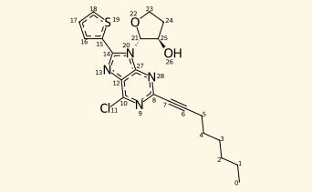 CCCCCCC#Cc1nc(Cl)c2nc(-c3cccs3)n([C@@H]3OCC[C@H]3O)c2n1